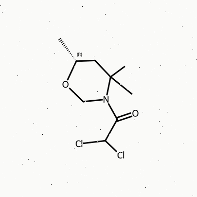 C[C@@H]1CC(C)(C)N(C(=O)C(Cl)Cl)CO1